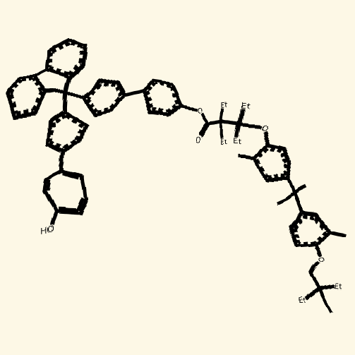 CCC(C)(CC)COc1ccc(C(C)(C)c2ccc(OC(CC)(CC)C(CC)(CC)C(=O)Oc3ccc(-c4ccc(C5(c6ccc(C7=CC=C=C(O)C=C7)cc6)c6ccccc6-c6ccccc65)cc4)cc3)c(C)c2)cc1C